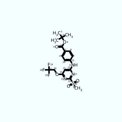 CC(C)(C)OC(=O)c1ccc(Nc2cc(OCC(F)(F)F)nc(S(C)(=O)=O)n2)cc1